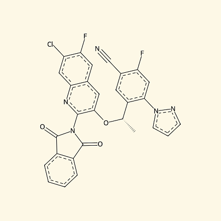 C[C@H](Oc1cc2cc(F)c(Cl)cc2nc1N1C(=O)c2ccccc2C1=O)c1cc(C#N)c(F)cc1-n1cccn1